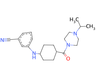 CC(C)N1CCN(C(=O)C2CCC(Nc3cccc(C#N)c3)CC2)CC1